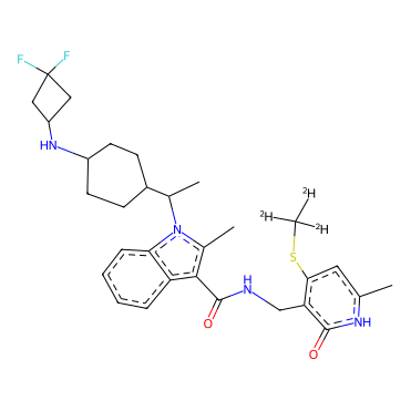 [2H]C([2H])([2H])Sc1cc(C)[nH]c(=O)c1CNC(=O)c1c(C)n(C(C)C2CCC(NC3CC(F)(F)C3)CC2)c2ccccc12